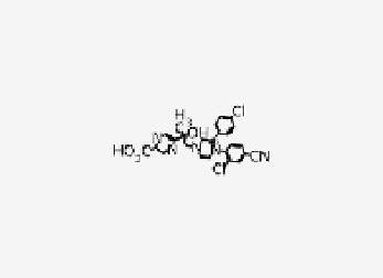 C[C@@](O)(CN1CCN(c2ccc(C#N)cc2Cl)[C@H](c2ccc(Cl)cc2)C1)c1cnc(C(=O)O)cn1